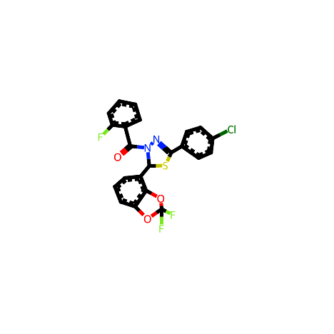 O=C(c1ccccc1F)N1N=C(c2ccc(Cl)cc2)SC1c1cccc2c1OC(F)(F)O2